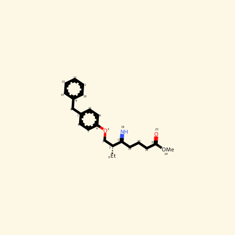 CC[C@H](COc1ccc(Cc2ccccc2)cc1)C(=N)CCCC(=O)OC